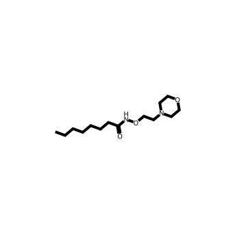 CCCCCCCC(=O)NOCCN1CCOCC1